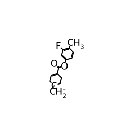 [CH2-][C+]1CC=C(C(=O)Oc2ccc(C)c(F)c2)CC1